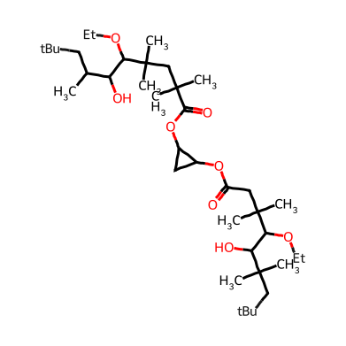 CCOC(C(O)C(C)CC(C)(C)C)C(C)(C)CC(C)(C)C(=O)OC1CC1OC(=O)CC(C)(C)C(OCC)C(O)C(C)(C)CC(C)(C)C